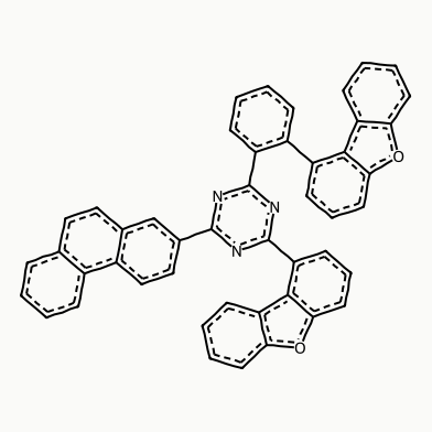 c1ccc(-c2cccc3oc4ccccc4c23)c(-c2nc(-c3ccc4c(ccc5ccccc54)c3)nc(-c3cccc4oc5ccccc5c34)n2)c1